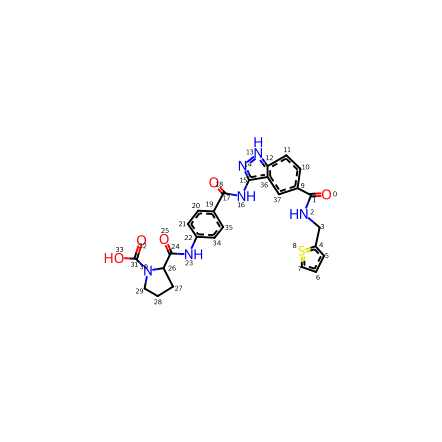 O=C(NCc1cccs1)c1ccc2[nH]nc(NC(=O)c3ccc(NC(=O)C4CCCN4C(=O)O)cc3)c2c1